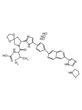 CC(C)C(NC(=O)O)C(=O)N1CC2(C[C@H]1c1ncc(-c3ccc(-c4ccc5cc(-c6cnc([C@@H]7CCCN7)[nH]6)ccc5c4)cc3)[nH]1)OCCO2.Cl.Cl.Cl